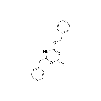 O=POC(Cc1ccccc1)NC(=O)OCc1ccccc1